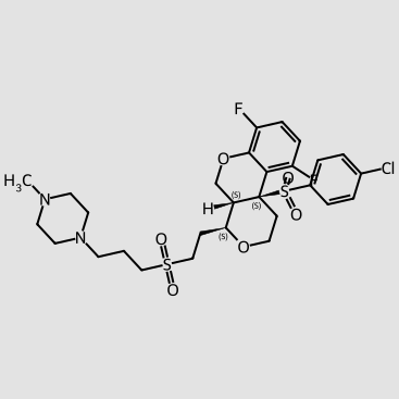 CN1CCN(CCCS(=O)(=O)CC[C@@H]2OCC[C@@]3(S(=O)(=O)c4ccc(Cl)cc4)c4c(F)ccc(F)c4OC[C@@H]23)CC1